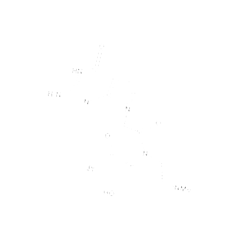 CNCCN(C(=O)Cn1ccc2c(=O)[nH]c(N)nc21)[C@H](CO)C(=O)C(C)C